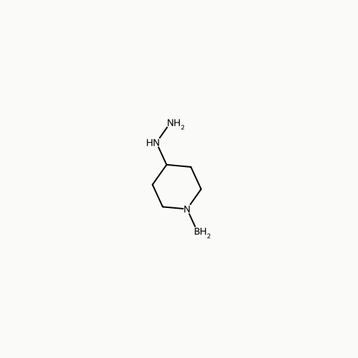 BN1CCC(NN)CC1